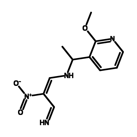 COc1ncccc1C(C)N/C=C(\C=N)[N+](=O)[O-]